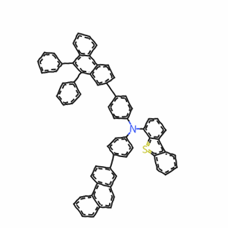 c1ccc(-c2c(-c3ccccc3)c3cc(-c4ccc(N(c5ccc(-c6ccc7c(ccc8ccccc87)c6)cc5)c5cccc6c5sc5ccccc56)cc4)ccc3c3ccccc23)cc1